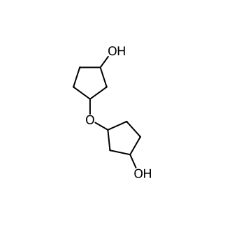 OC1CCC(OC2CCC(O)C2)C1